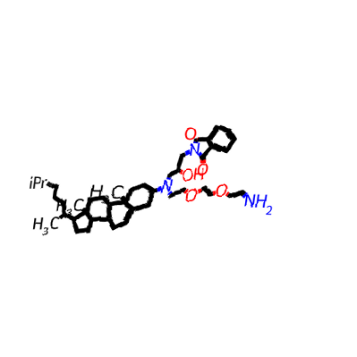 CC(C)CCCC(C)C1CCC2C3CC=C4CC(N(CCOCCOCCN)CC(O)CN5C(=O)c6ccccc6C5=O)CCC4(C)C3CCC12C